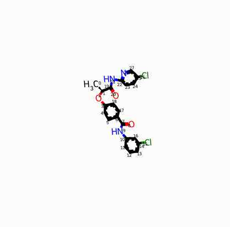 C[C@H](Oc1ccc(C(=O)Nc2cccc(Cl)c2)cc1)C(=O)Nc1ccc(Cl)cn1